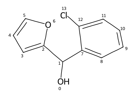 OC(c1ccco1)c1ccccc1Cl